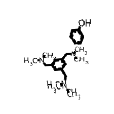 CN(C)Cc1cc(CN(C)C)cc(CN(C)C)c1.Oc1ccccc1